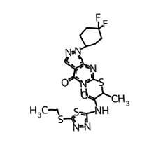 CCSc1nnc(NC(=O)C(C)Sc2nc3c(cnn3C3CCC(F)(F)CC3)c(=O)[nH]2)s1